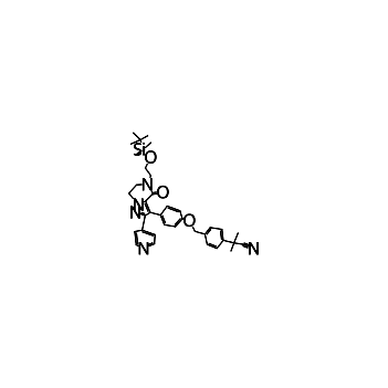 CC(C)(C#N)c1ccc(COc2ccc(-c3c(-c4ccncc4)nn4c3C(=O)N(CCO[Si](C)(C)C(C)(C)C)CC4)cc2)cc1